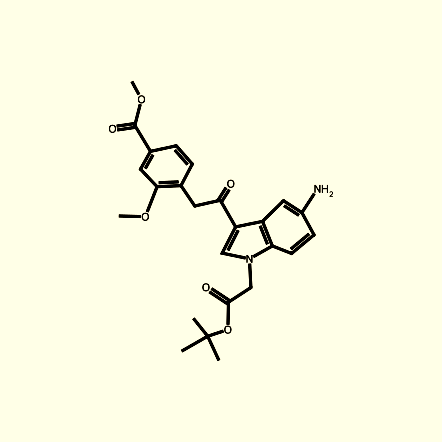 COC(=O)c1ccc(CC(=O)c2cn(CC(=O)OC(C)(C)C)c3ccc(N)cc23)c(OC)c1